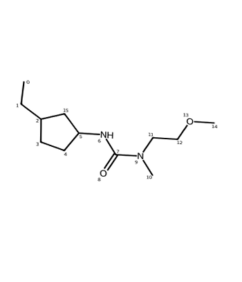 CCC1CCC(NC(=O)N(C)CCOC)C1